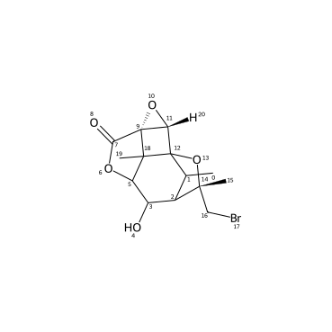 CC1C2C(O)C3OC(=O)[C@@]45O[C@@H]4C1(O[C@]2(C)CBr)C35C